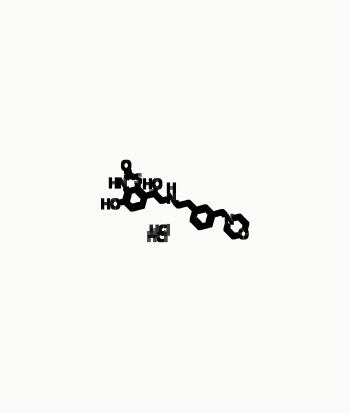 Cl.Cl.O=c1[nH]c2c(O)ccc([C@@H](O)CNCCc3cccc(CN4CCOCC4)c3)c2s1